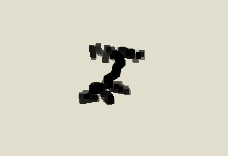 CC(C)(C)OC(=O)N(CCCC[C@@H](N)C(=O)O)C(C)(C)C